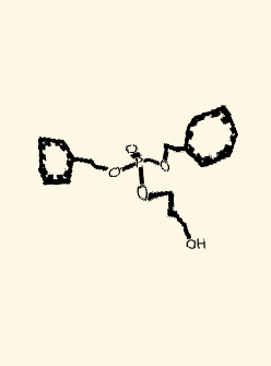 O=P(OCCCO)(OCc1ccccc1)OCc1ccccc1